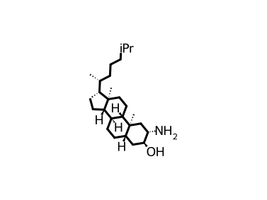 CC(C)CCC[C@@H](C)[C@H]1CC[C@H]2[C@@H]3CC[C@H]4C[C@H](O)[C@@H](N)C[C@]4(C)[C@H]3CC[C@]12C